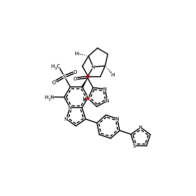 CS(=O)(=O)c1c([C@H]2C[C@H]3CC[C@@H](C2)N3C(=O)c2nnc[nH]2)nc2c(-c3ccc(-c4nccs4)nc3)cnn2c1N